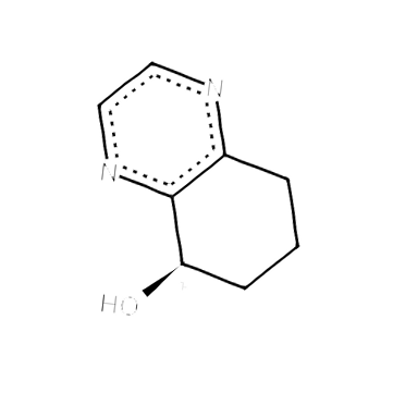 O[C@@H]1CCCc2nccnc21